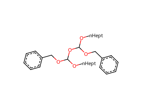 CCCCCCCOC(OCc1ccccc1)OC(OCCCCCCC)OCc1ccccc1